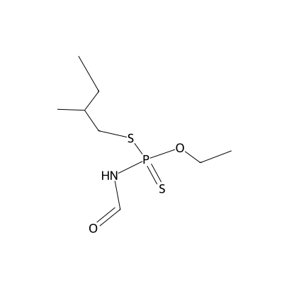 CCOP(=S)(NC=O)SCC(C)CC